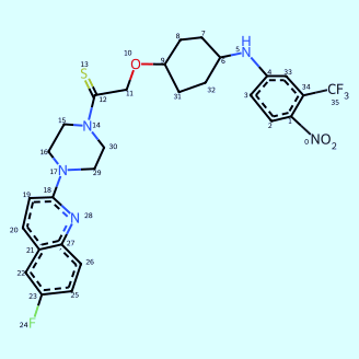 O=[N+]([O-])c1ccc(NC2CCC(OCC(=S)N3CCN(c4ccc5cc(F)ccc5n4)CC3)CC2)cc1C(F)(F)F